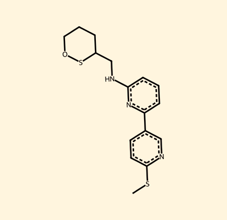 CSc1ccc(-c2cccc(NCC3CCCOS3)n2)cn1